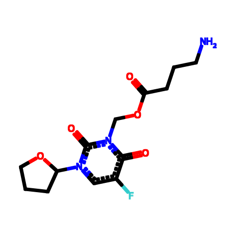 NCCCC(=O)OCn1c(=O)c(F)cn(C2CCCO2)c1=O